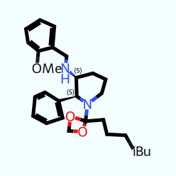 CCC(C)CCCC1(N2CCC[C@H](NCc3ccccc3OC)[C@@H]2c2ccccc2)OCO1